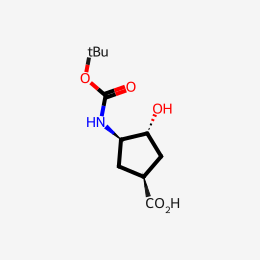 CC(C)(C)OC(=O)N[C@@H]1C[C@H](C(=O)O)C[C@H]1O